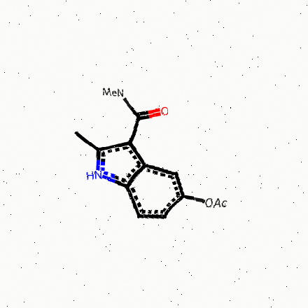 CNC(=O)c1c(C)[nH]c2ccc(OC(C)=O)cc12